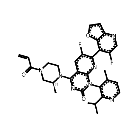 C=CC(=O)N1CCN(c2nc(=O)n(-c3c(C)ccnc3C(C)C)c3nc(-c4c(F)cnc5ccoc45)c(F)cc23)[C@@H](C)C1